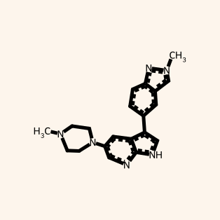 CN1CCN(c2cnc3[nH]cc(-c4ccc5nn(C)cc5c4)c3c2)CC1